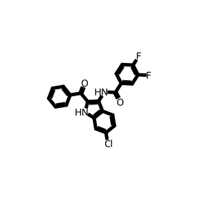 O=C(Nc1c(C(=O)c2ccccc2)[nH]c2cc(Cl)ccc12)c1ccc(F)c(F)c1